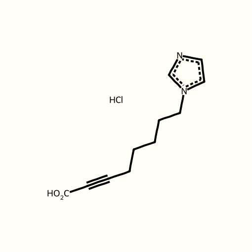 Cl.O=C(O)C#CCCCCCn1ccnc1